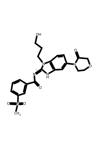 CS(=O)(=O)c1cccc(C(=O)/N=c2\[nH]c3cc(N4CCOCC4=O)ccc3n2CCCO)c1